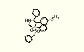 COc1ccc(C2=C(c3ccccc3)NC=NC2(c2ccccc2)S(=O)(=O)Cc2ccccc2)cc1